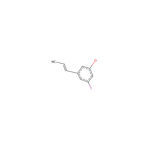 N#CC=Cc1cc([O])cc(I)c1